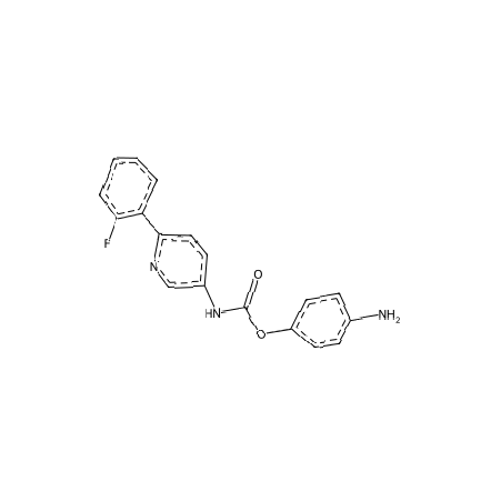 Nc1ccc(OC(=O)Nc2ccc(-c3ccccc3F)nc2)cc1